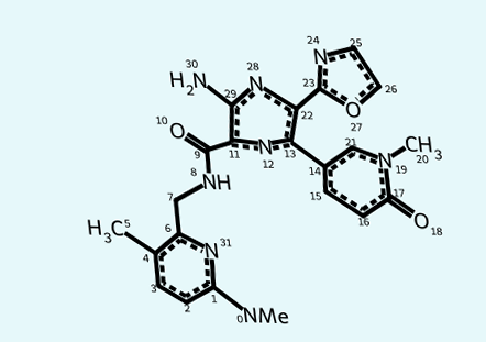 CNc1ccc(C)c(CNC(=O)c2nc(-c3ccc(=O)n(C)c3)c(-c3ncco3)nc2N)n1